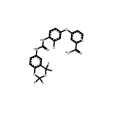 NC(=O)c1cc(Oc2ccc(NC(=O)Nc3ccc4c(c3)C(F)(F)OC(F)(F)O4)c(Cl)c2)ccn1